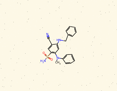 CN(c1ccccc1)c1cc(NCc2ccccc2)c(C#N)cc1S(N)(=O)=O